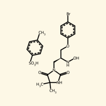 CC1(C)NC(=O)N(C[C@@H](COc2ccc(Br)cc2)NO)C1=O.Cc1ccc(S(=O)(=O)O)cc1